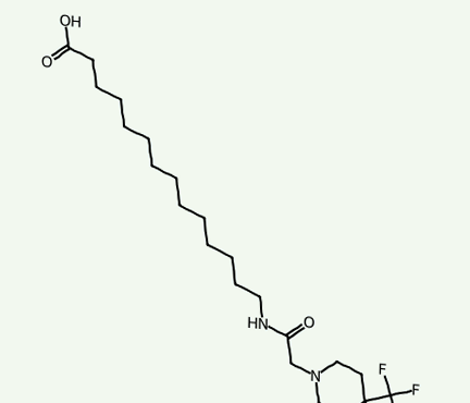 O=C(O)CCCCCCCCCCCCCNC(=O)CN1CCC(O)(C(F)(F)F)CC1